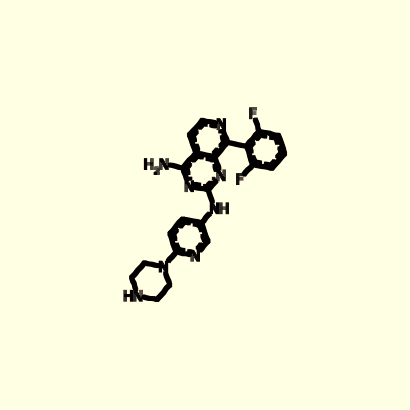 Nc1nc(Nc2ccc(N3CCNCC3)nc2)nc2c(-c3c(F)cccc3F)nccc12